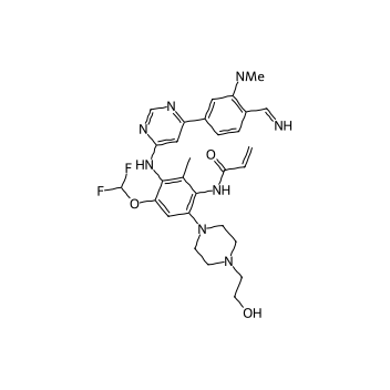 C=CC(=O)Nc1c(N2CCN(CCO)CC2)cc(OC(F)F)c(Nc2cc(-c3ccc(C=N)c(NC)c3)ncn2)c1C